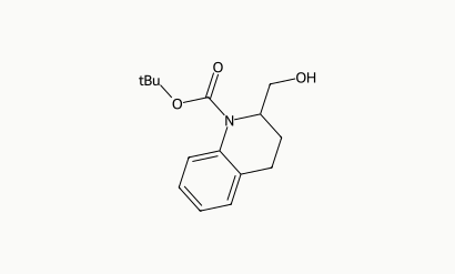 CC(C)(C)OC(=O)N1c2ccccc2CCC1CO